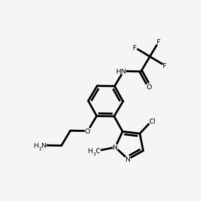 Cn1ncc(Cl)c1-c1cc(NC(=O)C(F)(F)F)ccc1OCCN